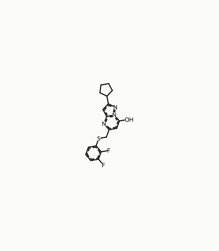 Oc1cc(CSc2cccc(F)c2F)nc2cc(C3CCCC3)nn12